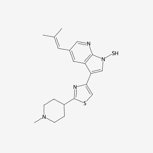 CC(C)=Cc1cnc2c(c1)c(-c1csc(C3CCN(C)CC3)n1)cn2S